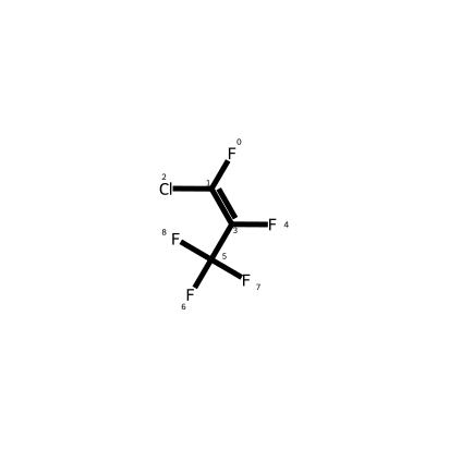 F/C(Cl)=C(\F)C(F)(F)F